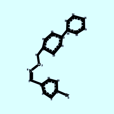 Brc1ccc(/[C]=N\OCc2ccc(-c3ccccc3)cc2)cc1